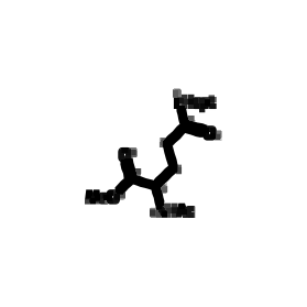 CCCCCCCC(=O)CCC(NC(C)=O)C(=O)OC